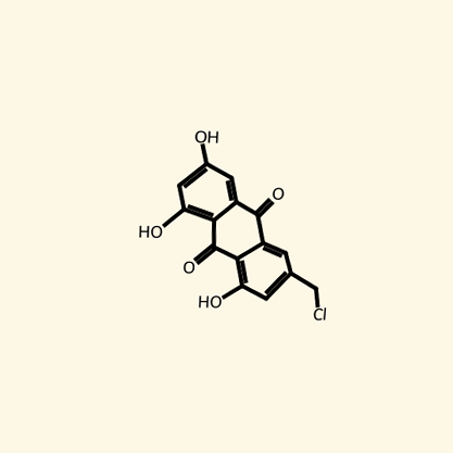 O=C1c2cc(O)cc(O)c2C(=O)c2c(O)cc(CCl)cc21